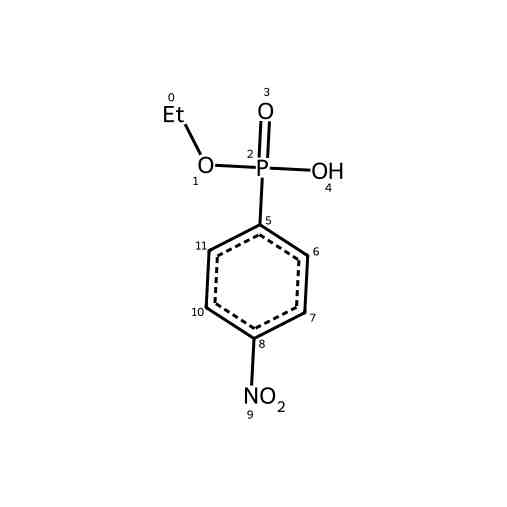 CCOP(=O)(O)c1ccc([N+](=O)[O-])cc1